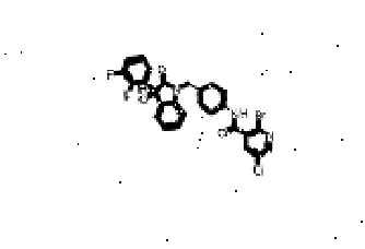 O=C(N[C@H]1CC[C@H](CN2C(=O)C(O)(c3cccc(F)c3F)c3ccccc32)CC1)c1cc(Cl)cnc1Br